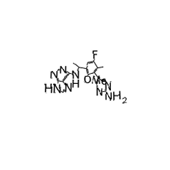 COc1c(C(C)Nc2ncnc3[nH]cnc23)cc(F)c(C)c1-c1cnc(N)nc1